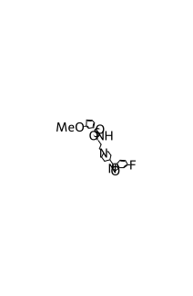 COc1cccc(S(=O)(=O)NCCCN2CCC(c3noc4cc(F)ccc34)CC2)c1